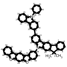 CC1(C)c2ccccc2-c2cc3c4cc(-c5ccc6c(c5)c5ccccc5n6-c5ccccc5)ccc4n(-c4ccc5oc6cc7oc8ccccc8c7cc6c5c4)c3cc21